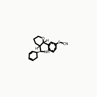 N#CSc1ccc2c(c1)[C@H]1OCCC[C@H]1[C@H](C1C=CC=CC1)N2